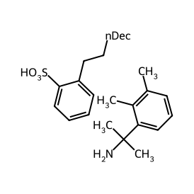 CCCCCCCCCCCCc1ccccc1S(=O)(=O)O.Cc1cccc(C(C)(C)N)c1C